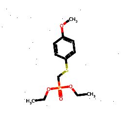 CCOP(=O)(CSc1ccc(OC)cc1)OCC